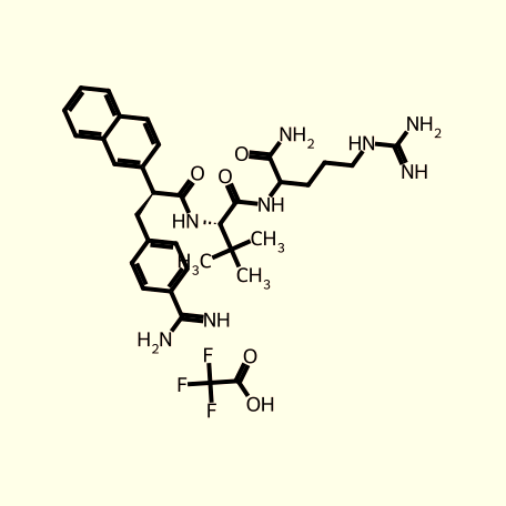 CC(C)(C)[C@H](NC(=O)[C@@H](Cc1ccc(C(=N)N)cc1)c1ccc2ccccc2c1)C(=O)NC(CCCNC(=N)N)C(N)=O.O=C(O)C(F)(F)F